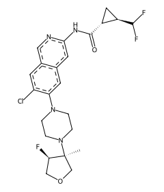 C[C@]1(N2CCN(c3cc4cc(NC(=O)[C@@H]5C[C@H]5C(F)F)ncc4cc3Cl)CC2)COC[C@H]1F